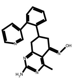 Cc1nc(N)nc2c1C(=NO)CC(c1ccccc1-c1cccnc1)C2